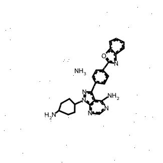 N.Nc1ncnc2c1c(-c1ccc(-c3nc4ccccc4o3)cc1)nn2C1CCC(N)CC1